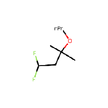 CCCOC(C)(C)CC(F)F